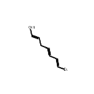 CCC=CC=CCC=CO